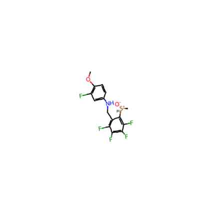 COc1ccc(NCc2c(F)c(F)c(F)c(F)c2[S@+](C)[O-])cc1F